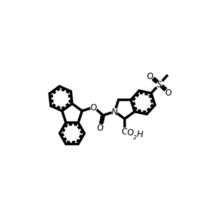 CS(=O)(=O)c1ccc2c(c1)CN(C(=O)OC1c3ccccc3-c3ccccc31)C2C(=O)O